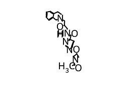 CC(=O)N1CC(Oc2cc(C(=O)NCC(O)CN3CCc4ccccc4C3)ncn2)C1